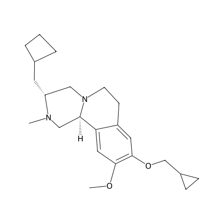 COc1cc2c(cc1OCC1CC1)CCN1C[C@@H](CC3CCC3)N(C)C[C@H]21